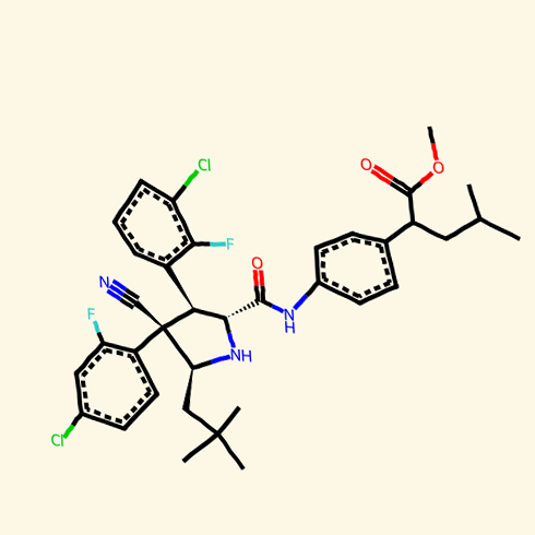 COC(=O)C(CC(C)C)c1ccc(NC(=O)[C@@H]2N[C@@H](CC(C)(C)C)[C@](C#N)(c3ccc(Cl)cc3F)[C@H]2c2cccc(Cl)c2F)cc1